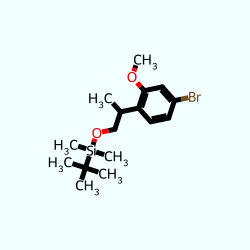 COc1cc(Br)ccc1C(C)CO[Si](C)(C)C(C)(C)C